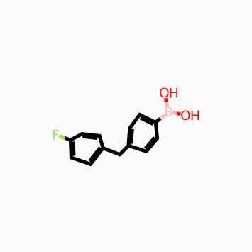 OB(O)c1ccc(Cc2ccc(F)cc2)cc1